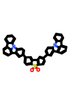 O=S1(=O)c2ccc(-c3ccc4c(c3)c3cccc5c6ccccc6n4c53)cc2-c2cc(-c3ccc4c(c3)c3cccc5c6ccccc6n4c53)ccc21